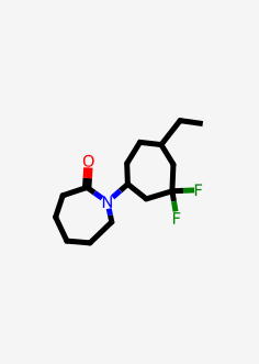 CCC1CCC(N2CCCCCC2=O)CC(F)(F)C1